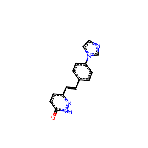 O=c1ccc(/C=C/c2ccc(-n3ccnc3)cc2)n[nH]1